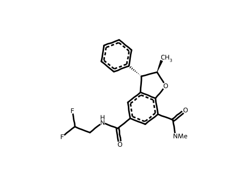 CNC(=O)c1cc(C(=O)NCC(F)F)cc2c1O[C@H](C)[C@H]2c1ccccc1